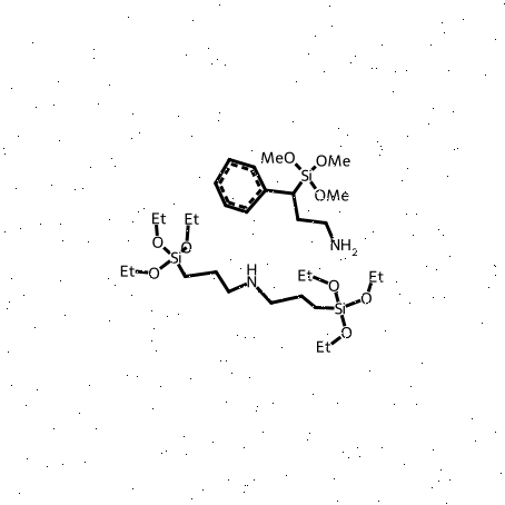 CCO[Si](CCCNCCC[Si](OCC)(OCC)OCC)(OCC)OCC.CO[Si](OC)(OC)C(CCN)c1ccccc1